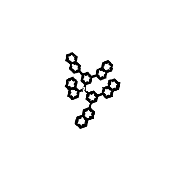 c1ccc2cc(-c3cc(-c4ccc5ccccc5c4)cc(N(c4cc(-c5ccc6ccccc6c5)cc(-c5ccc6ccccc6c5)c4)c4cccc5ccccc45)c3)ccc2c1